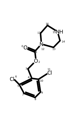 O=C(OCc1c(Cl)cccc1Cl)N1CCNCC1